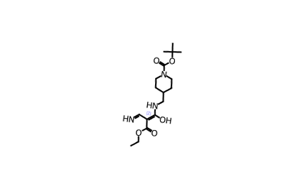 CCOC(=O)/C(C=N)=C(\O)NCC1CCN(C(=O)OC(C)(C)C)CC1